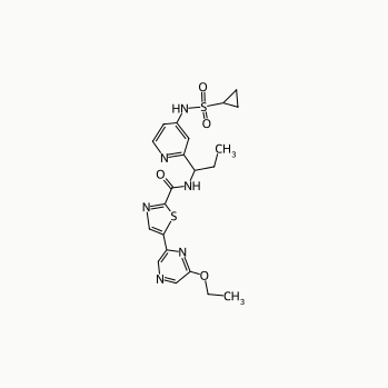 CCOc1cncc(-c2cnc(C(=O)NC(CC)c3cc(NS(=O)(=O)C4CC4)ccn3)s2)n1